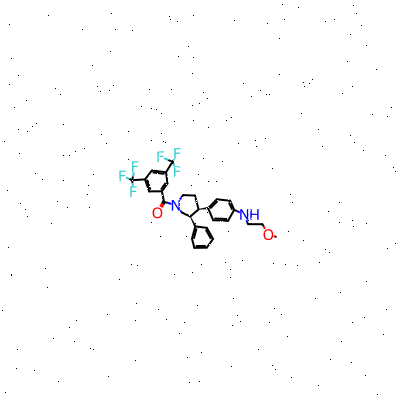 COCCNc1ccc([C@@H]2CCN(C(=O)c3cc(C(F)(F)F)cc(C(F)(F)F)c3)C[C@@H]2c2ccccc2)cc1